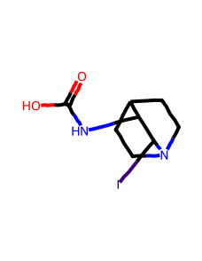 O=C(O)NC1C2CCN(CC2)C1I